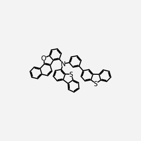 c1cc(-c2ccc3sc4ccccc4c3c2)cc(N(c2cccc3c2sc2ccccc23)c2cccc3oc4c5ccccc5ccc4c23)c1